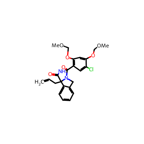 C=CCC1(C(N)=O)c2ccccc2CN1C(=O)c1cc(Cl)c(OCOC)cc1OCOC